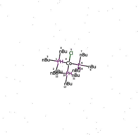 CCCC[PH](CCCC)(CCCC)[Co]([Cl])([PH](CCCC)(CCCC)CCCC)[PH](CCCC)(CCCC)CCCC